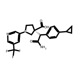 NC(=O)C(c1ccc(C2CC2)cc1)[C@@]1(C(=O)O)CCN(c2cncc(C(F)(F)F)c2)C1